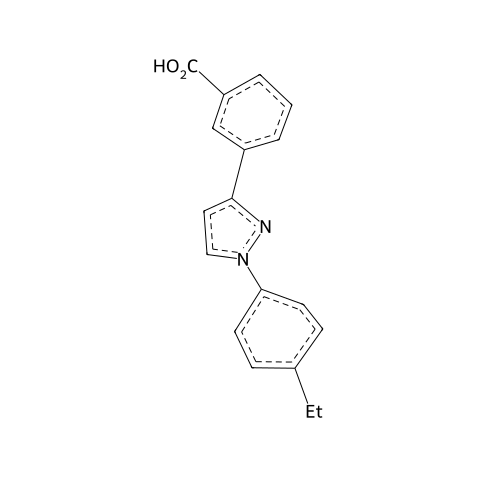 CCc1ccc(-n2ccc(-c3cccc(C(=O)O)c3)n2)cc1